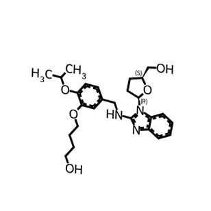 CC(C)Oc1ccc(CNc2nc3ccccc3n2[C@H]2CC[C@@H](CO)O2)cc1OCCCCO